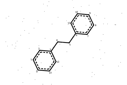 [c]1ccc(CCc2ccccc2)cc1